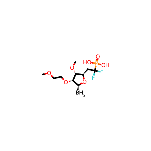 B[C@@H]1O[C@H](CC(F)(F)P(=O)(O)O)[C@@H](OC)[C@H]1OCCOC